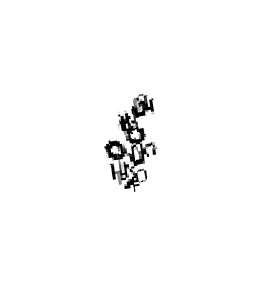 Cn1cc(-n2ncc3cc(N4C(=O)C[C@@H](NC(=O)C(C)(F)F)[C@@H]4c4ccccc4)ccc32)cn1